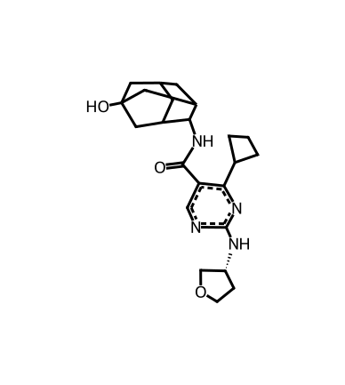 O=C(NC1C2CC3CC1CC(O)(C3)C2)c1cnc(N[C@@H]2CCOC2)nc1C1CCC1